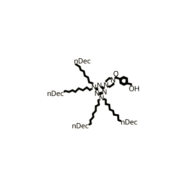 CCCCCCCCCCCCCCCCCCN(CCCCCCCCCCCCCCCCCC)c1nc(N(CCCCCCCCCCCCCCCCCC)CCCCCCCCCCCCCCCCCC)nc(N2CCN(C(=O)c3ccc(CO)cc3)CC2)n1